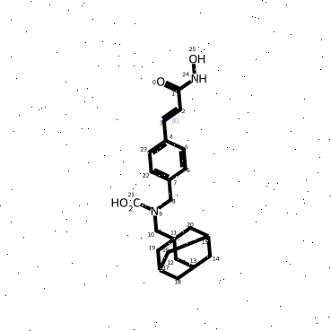 O=C(/C=C/c1ccc(CN(CC23CC4CC(CC(C4)C2)C3)C(=O)O)cc1)NO